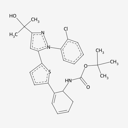 CC(C)(C)OC(=O)NC1CC=CC=C1c1ccc(-c2cc(C(C)(C)O)nn2-c2ccccc2Cl)s1